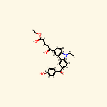 CCOC(=O)CCCC(=O)c1ccc2c(c1)c1cc(C(=O)c3ccc(O)cc3)ccc1n2CC